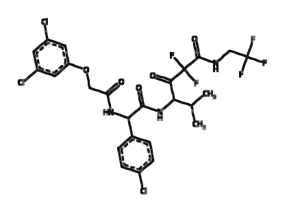 CC(C)C(NC(=O)C(NC(=O)COc1cc(Cl)cc(Cl)c1)c1ccc(Cl)cc1)C(=O)C(F)(F)C(=O)NCC(F)(F)F